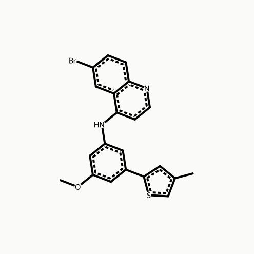 COc1cc(Nc2ccnc3ccc(Br)cc23)cc(-c2cc(C)cs2)c1